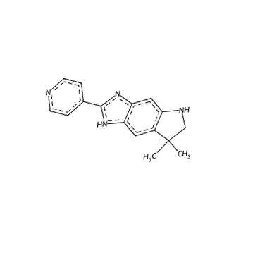 CC1(C)CNc2cc3nc(-c4ccncc4)[nH]c3cc21